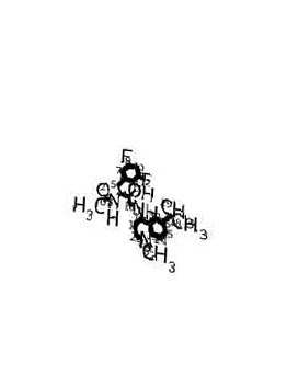 CC(=O)N[C@@H](Cc1cc(F)cc(F)c1)[C@@H](O)CN[C@H]1CCN(C)c2ccc(C(C)C)cc21